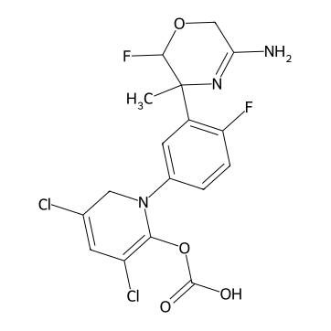 CC1(c2cc(N3CC(Cl)=CC(Cl)=C3OC(=O)O)ccc2F)N=C(N)COC1F